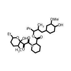 CCC1CCC(C)C(O)(C(=O)C(=O)N2CCCCC2C(=O)OC(C(C)C)C(C)CC2CCC(O)C(OC)C2)O1